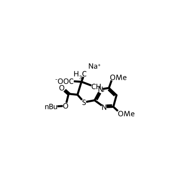 CCCCOC(=O)C(Sc1nc(OC)cc(OC)n1)C(C)(C)C(=O)[O-].[Na+]